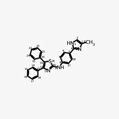 Cc1c[nH]c(-c2ccc(Nc3nc(-c4ccccc4)c(-c4ccccc4)s3)cc2)n1